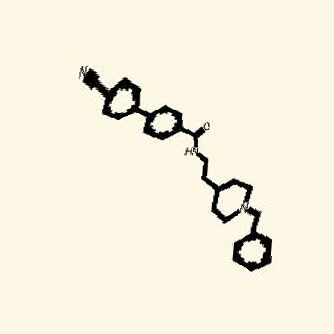 N#Cc1ccc(-c2ccc(C(=O)NCCC3CCN(Cc4ccccc4)CC3)cc2)cc1